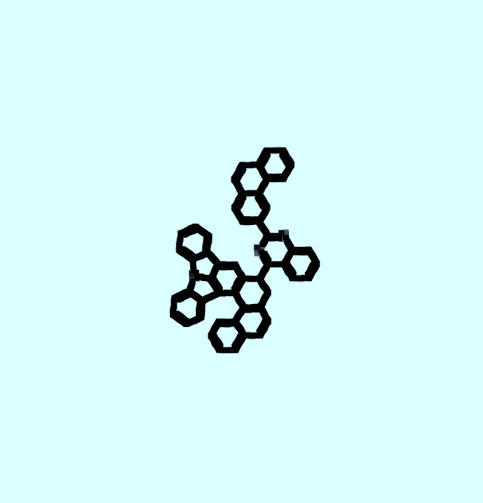 c1ccc2c3c(ccc2c1)CC(c1nc(-c2ccc4ccc5ccccc5c4c2)nc2ccccc12)c1cc2c4ccccc4n4c5ccccc5c(c1-3)c24